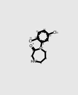 O=C1CNCCCN1c1cc(Cl)ccc1Cl